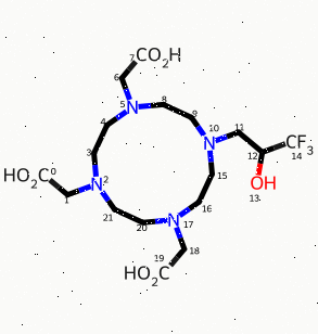 O=C(O)CN1CCN(CC(=O)O)CCN(CC(O)C(F)(F)F)CCN(CC(=O)O)CC1